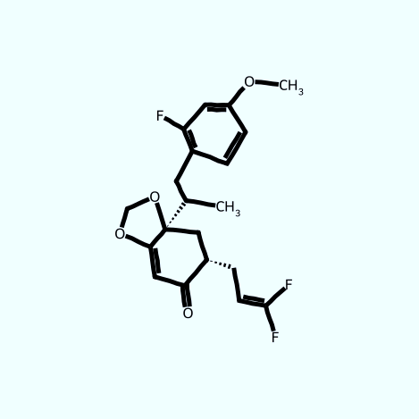 COc1ccc(CC(C)[C@]23C[C@H](CC=C(F)F)C(=O)C=C2OCO3)c(F)c1